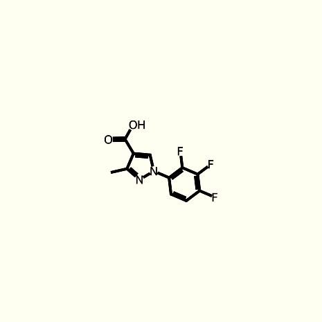 Cc1nn(-c2ccc(F)c(F)c2F)cc1C(=O)O